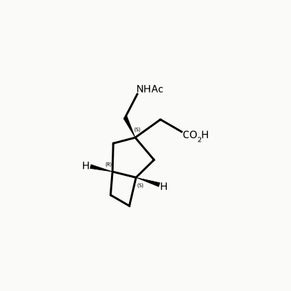 CC(=O)NC[C@]1(CC(=O)O)C[C@H]2CC[C@H]2C1